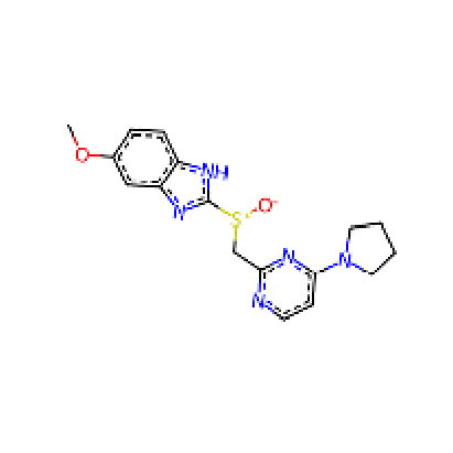 COc1ccc2[nH]c([S+]([O-])Cc3nccc(N4CCCC4)n3)nc2c1